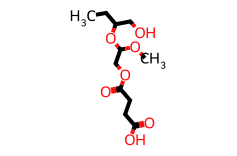 CCC(CO)OC(COC(=O)CCC(=O)O)OC